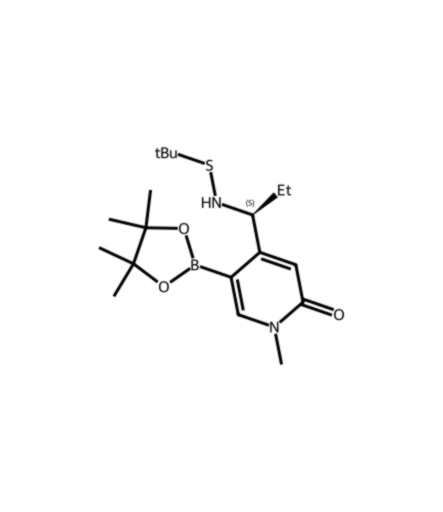 CC[C@H](NSC(C)(C)C)c1cc(=O)n(C)cc1B1OC(C)(C)C(C)(C)O1